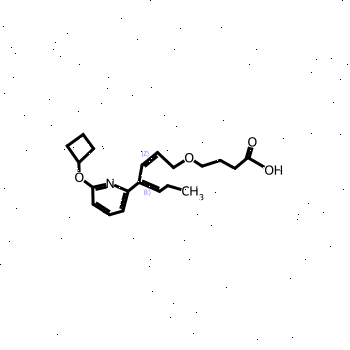 CC/C=C(\C=C/COCCCC(=O)O)c1cccc(OC2CCC2)n1